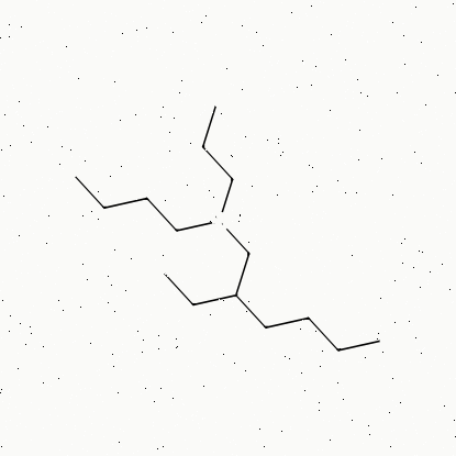 CCCCC(CC)CN(CCC)CCCC